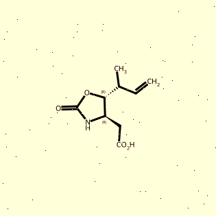 C=CC(C)[C@H]1OC(=O)N[C@@H]1CC(=O)O